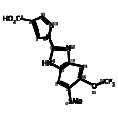 CSc1cc2[nH]c(-n3cc(C(=O)O)cn3)nc2cc1OC(F)(F)F